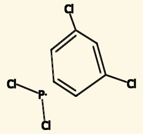 Cl[P]Cl.Clc1cccc(Cl)c1